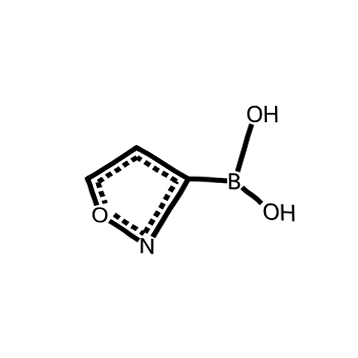 OB(O)c1ccon1